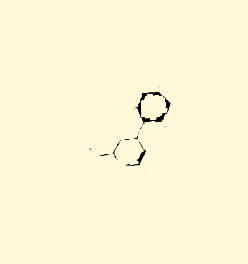 CCOC1CC(c2ccccc2)C=CO1